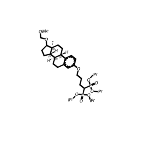 COCOC1CC[C@H]2[C@@H]3CCc4cc(OCCCC(P(=O)(OC(C)C)OC(C)C)P(=O)(OC(C)C)OC(C)C)ccc4[C@H]3CC[C@]12C